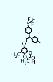 Cc1cc(OCC=C(c2ccc(I)cc2)c2ccc(SC(F)(F)F)cc2)ccc1OC(C)C(=O)O